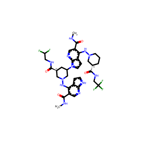 CNC(=O)c1cnc2[nH]ccc2c1NN1CC(n2ccc3c(NN4CCC[C@H](C(=O)NCC(F)(F)F)C4)c(C(=O)NC)cnc32)C[C@H](C(=O)NCC(F)F)C1